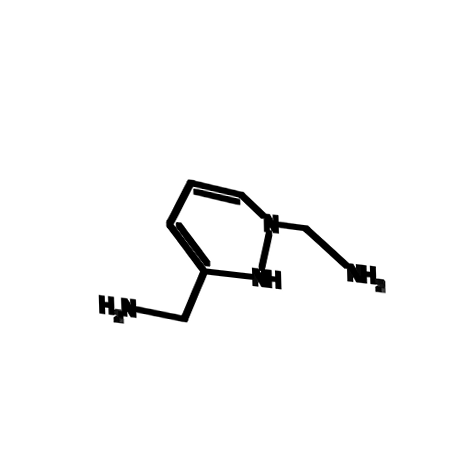 NCC1=CC=CN(CN)N1